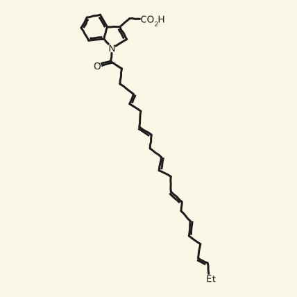 CCC=CCC=CCC=CCC=CCC=CCC=CCCC(=O)n1cc(CC(=O)O)c2ccccc21